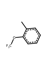 Cc1ccccc1OC(F)(F)F